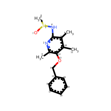 Cc1nc(N[S+](C)[O-])c(C)c(C)c1OCc1ccccc1